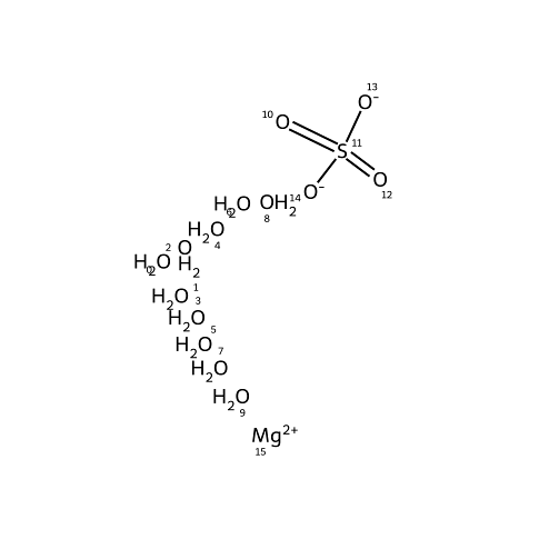 O.O.O.O.O.O.O.O.O.O.O=S(=O)([O-])[O-].[Mg+2]